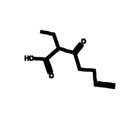 C=CCCC(=O)C(CC)C(=O)O